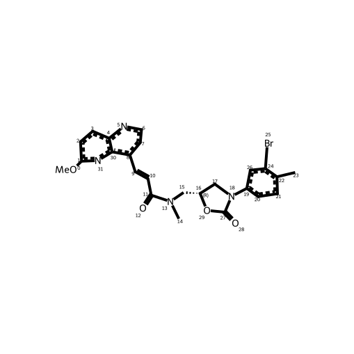 COc1ccc2nccc(C=CC(=O)N(C)C[C@@H]3CN(c4ccc(C)c(Br)c4)C(=O)O3)c2n1